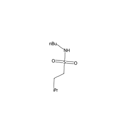 CCCCNS(=O)(=O)CCC(C)C